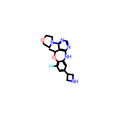 CC1Oc2c(F)cc(C3CNC3)cc2Nc2ncnc(N3CCOCC3)c21